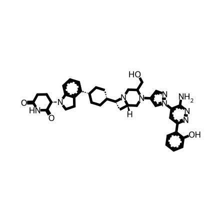 Nc1nnc(-c2ccccc2O)cc1-n1cc(N2C[C@@H]3C[C@H]([C@H]4CC[C@@H](c5cccc6c5CCN6[C@H]5CCC(=O)NC5=O)CC4)N3CC2CO)cn1